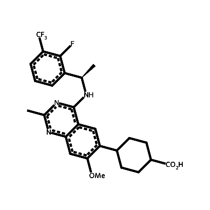 COc1cc2nc(C)nc(N[C@H](C)c3cccc(C(F)(F)F)c3F)c2cc1C1CCC(C(=O)O)CC1